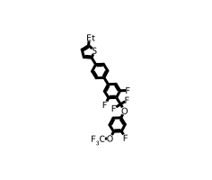 CCc1ccc(-c2ccc(-c3cc(F)c(C(F)(F)Oc4ccc(OC(F)(F)F)c(F)c4)c(F)c3)cc2)s1